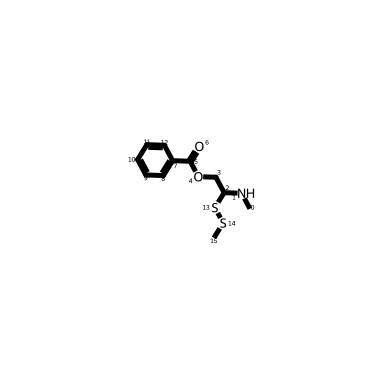 CNC(COC(=O)c1ccccc1)SSC